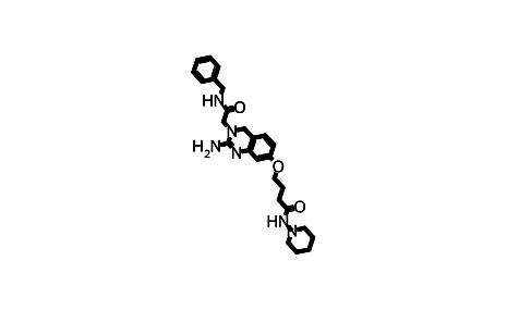 NC1=Nc2cc(OCCCC(=O)NN3CCCCC3)ccc2CN1CC(=O)NCc1ccccc1